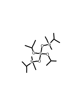 CC(C)O[Si](OC(C)C)(O[Si](C)(C)C(C)C)O[Si](C)(C)C(C)C